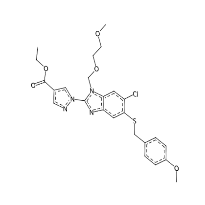 CCOC(=O)c1cnn(-c2nc3cc(SCc4ccc(OC)cc4)c(Cl)cc3n2COCCOC)c1